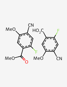 COC(=O)c1cc(OC)c(C#N)cc1F.COc1cc(C(=O)O)c(F)cc1C#N